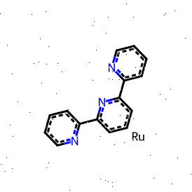 [Ru].c1ccc(-c2cccc(-c3ccccn3)n2)nc1